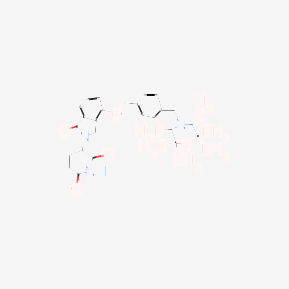 BC1N(Cc2ccc(COc3cccc4c3CN(C3CCC(=O)NC3=O)C4=O)cc2)C(B)C(B)(B)OC1(B)B